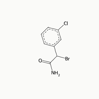 NC(=O)C(Br)c1cccc(Cl)c1